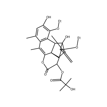 C=C1C(OCC)C2(O)OCC34C(=C(C)c5c(C)cc(O)c(OCC)c5C23)OC(=O)C(OC(=O)C(C)(C)O)C14